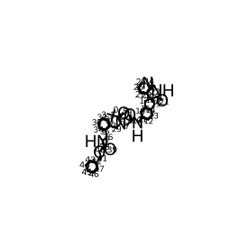 CC(C)(C)C(=O)N(CC(=O)Nc1ccc2c(c1)CC1(C2)C(=O)Nc2ncccc21)Cc1ccccc1CNC(=O)OCc1ccccc1